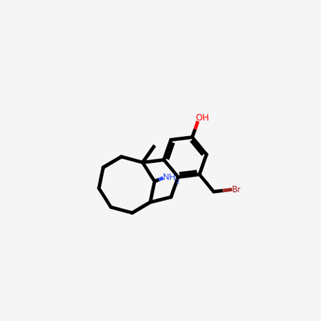 CC12CCCCCC(Cc3c(CBr)cc(O)cc31)C2N